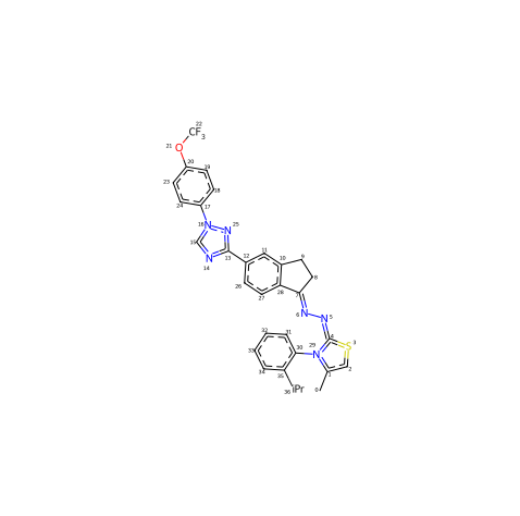 Cc1csc(=NN=C2CCc3cc(-c4ncn(-c5ccc(OC(F)(F)F)cc5)n4)ccc32)n1-c1ccccc1C(C)C